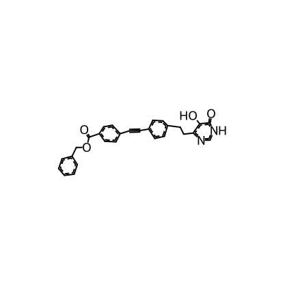 O=C(OCc1ccccc1)c1ccc(C#Cc2ccc(CCc3nc[nH]c(=O)c3O)cc2)cc1